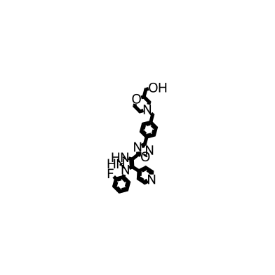 OCC1CN(Cc2ccc(-c3noc(C4=C(c5ccncc5)N(c5ccccc5F)NN4)n3)cc2)CCO1